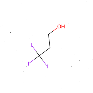 OCCC(I)(I)I